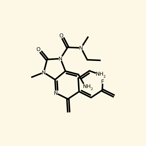 C=C(F)/C=C(\C=C/N)C(=C)/N=C1\C(=C/N)N(C(=O)N(C)CC)C(=O)N1C